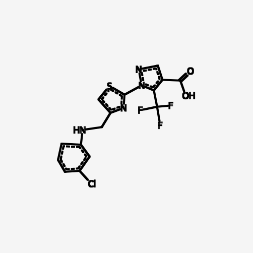 O=C(O)c1cnn(-c2nc(CNc3cccc(Cl)c3)cs2)c1C(F)(F)F